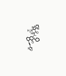 CC(NC(=O)c1c(N)nn2cccnc12)c1cc2cccc(C#Cc3cocn3)c2c(=O)n1-c1ccccc1